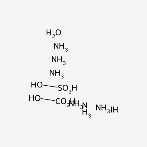 I.N.N.N.N.N.N.O.O=C(O)O.O=S(=O)(O)O